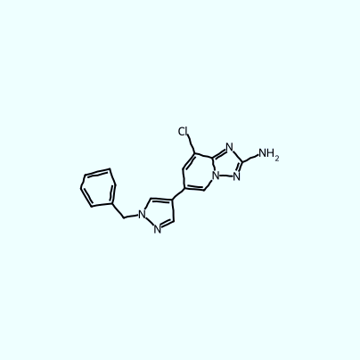 Nc1nc2c(Cl)cc(-c3cnn(Cc4ccccc4)c3)cn2n1